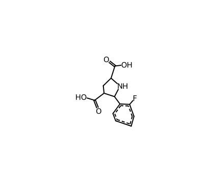 O=C(O)C1CC(C(=O)O)C(c2ccccc2F)N1